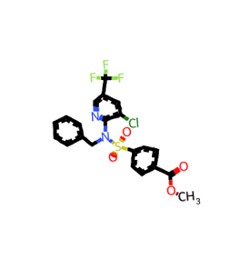 COC(=O)c1ccc(S(=O)(=O)N(Cc2ccccc2)c2ncc(C(F)(F)F)cc2Cl)cc1